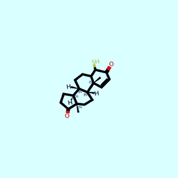 C[C@]12C=CC(=O)C(S)C1CC[C@@H]1[C@H]2CC[C@]2(C)C(=O)CC[C@@H]12